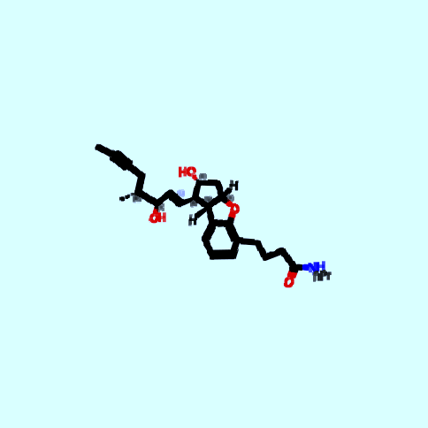 CC#CC[C@@H](C)[C@H](O)/C=C/[C@@H]1[C@H]2c3cccc(CCCC(=O)NCCC)c3O[C@H]2C[C@H]1O